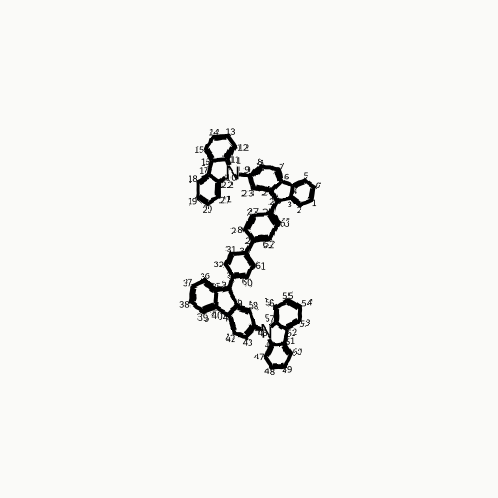 c1ccc2c(c1)-c1ccc(-n3c4ccccc4c4ccccc43)cc1C2c1ccc(-c2ccc(C3c4ccccc4-c4ccc(-n5c6ccccc6c6ccccc65)cc43)cc2)cc1